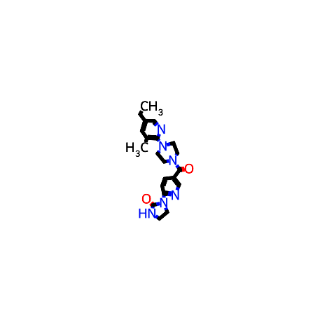 CCc1cnc(N2CCN(C(=O)c3ccc(N4CCNC4=O)nc3)CC2)c(C)c1